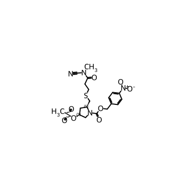 CN(C#N)C(=O)CCSC[C@@H]1C[C@H](OS(C)(=O)=O)CN1C(=O)OCc1ccc([N+](=O)[O-])cc1